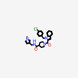 Cn1ccc(CNC(=O)C2CCN(C(=O)c3cc4ccccc4n3Cc3ccc(Cl)cc3)CC2)c1